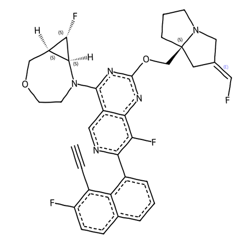 C#Cc1c(F)ccc2cccc(-c3ncc4c(N5CCOC[C@H]6[C@H](F)[C@H]65)nc(OC[C@@]56CCCN5C/C(=C/F)C6)nc4c3F)c12